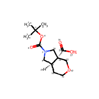 CC(C)(C)OC(=O)N1C[C@@H]2CCOC[C@]2(C(=O)O)C1